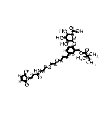 CCC(C)(C)C(=O)OCc1cc(CCCOCCOCCNC(=O)CCN2C(=O)C=CC2=O)ccc1OC1O[C@H](C(=O)O)[C@@H](O)[C@H](O)[C@H]1O